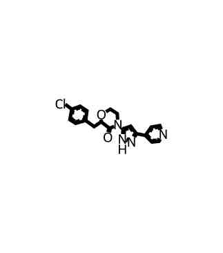 O=C1C(Cc2ccc(Cl)cc2)OCCN1c1cc(-c2ccncc2)n[nH]1